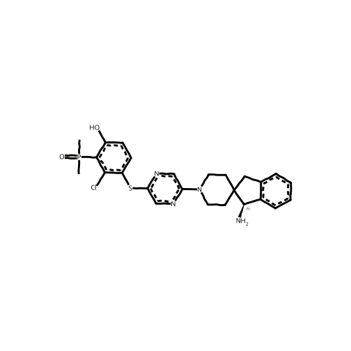 CP(C)(=O)c1c(O)ccc(Sc2cnc(N3CCC4(CC3)Cc3ccccc3[C@H]4N)cn2)c1Cl